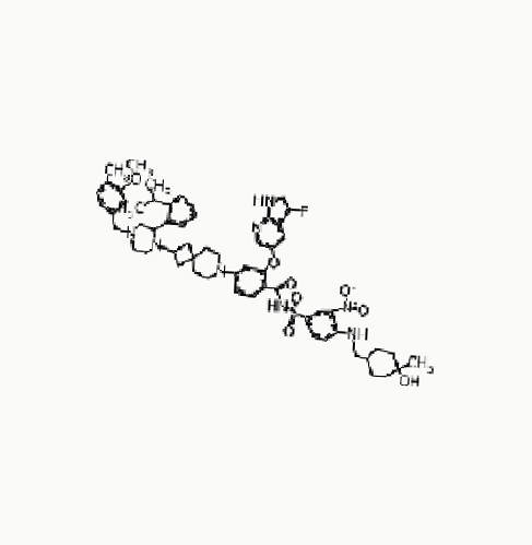 COc1cc(CN2CCN(C3CC4(CCN(c5ccc(C(=O)NS(=O)(=O)c6ccc(NCC7CCC(C)(O)CC7)c([N+](=O)[O-])c6)c(Oc6cnc7[nH]cc(F)c7c6)c5)CC4)C3)C(c3ccccc3C(C)C)C2)ccc1C